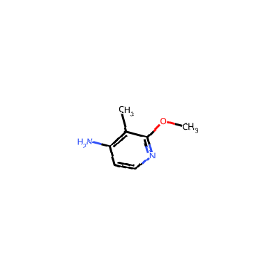 COc1nccc(N)c1C